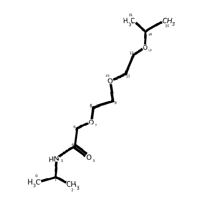 CC(C)NC(=O)COCCOCCOC(C)C